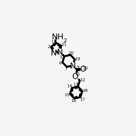 Nc1cnn(C2CCN(C(=O)OCc3ccccc3)CC2)c1